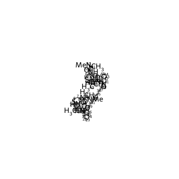 CN[C@@H](C)C(=O)N[C@H]1CCS[C@H]2CC(C)(C)[C@@H](C(=O)N[C@H]3c4ccccc4C[C@H]3OCCCCCCCCCCO[C@@H]3Cc4ccccc4[C@@H]3NC(=O)[C@H]3N4C(=O)[C@@H](NC(=O)[C@H](C)NC)CCS[C@H]4CC3(C)C)N2C1=O